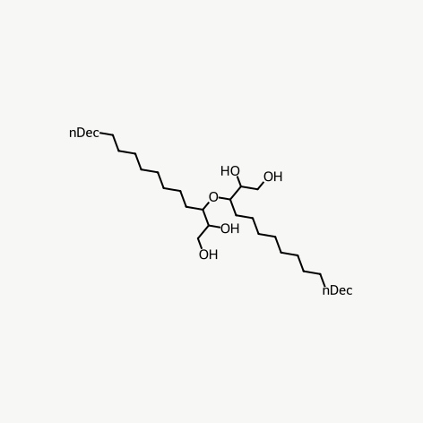 CCCCCCCCCCCCCCCCCCC(OC(CCCCCCCCCCCCCCCCCC)C(O)CO)C(O)CO